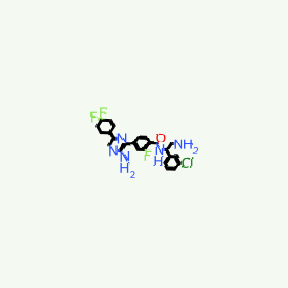 NCC(NC(=O)c1ccc(-c2nc(C3CCC(F)(F)CC3)cnc2N)cc1F)c1cccc(Cl)c1